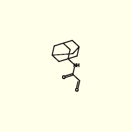 O=CC(=O)NC12CC3CC(CC(C3)C1)C2